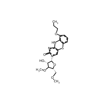 CCCOc1cccc2c1Nc1nc(=O)n([C@@H]3O[C@H](COC)C(OC)[C@@H]3O)cc1S2